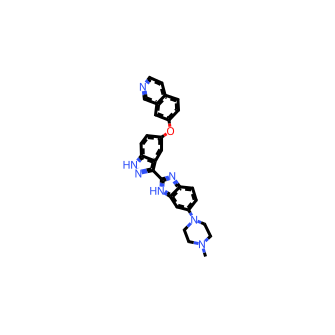 CN1CCN(c2ccc3nc(-c4n[nH]c5ccc(Oc6ccc7ccncc7c6)cc45)[nH]c3c2)CC1